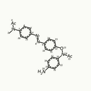 CC(=O)N(C)c1ccc(/N=N/c2ccc(ON(C(C)=O)c3ccc(N)cc3)cc2)cc1